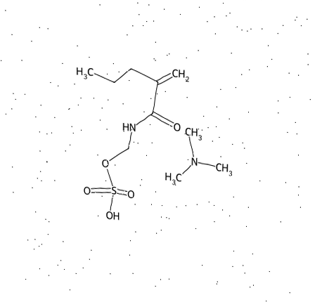 C=C(CCC)C(=O)NCOS(=O)(=O)O.CN(C)C